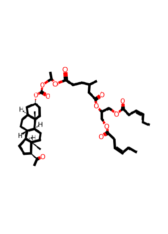 CC/C=C\CC(=O)OCC(COC(=O)C/C=C\CC)OC(=O)CC(C)CCC(=O)OC(C)OC(=O)O[C@@H]1CC[C@@]2(C)[C@@H](CC[C@@H]3[C@@H]2CC[C@]2(C)[C@@H](C(C)=O)CC[C@@H]32)C1